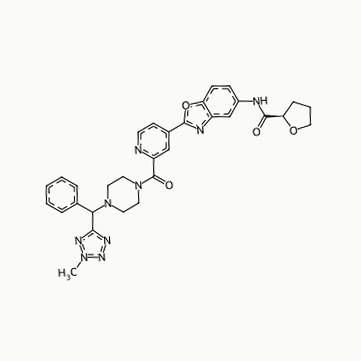 Cn1nnc(C(c2ccccc2)N2CCN(C(=O)c3cc(-c4nc5cc(NC(=O)[C@H]6CCCO6)ccc5o4)ccn3)CC2)n1